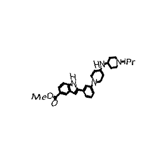 COC(=O)c1ccc2[nH]c(-c3cccc(N4CCC(NC5CCN(C(C)C)CC5)CC4)c3)cc2c1